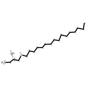 CCCCCCCCCCCCCCCCOC[C@@H](O)CN